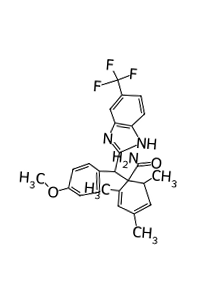 COc1ccc(C(c2nc3cc(C(F)(F)F)ccc3[nH]2)C2(C(N)=O)C(C)=CC(C)=CC2C)cc1